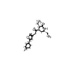 CC(C)C[C@H]1CN(C(=O)Cc2cc(-c3ccc(F)cc3)on2)[C@@H](CC(C)C)C(=O)N1